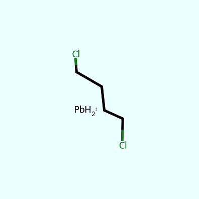 ClCCCCCl.[PbH2]